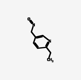 CCc1ccc(CN=O)cn1